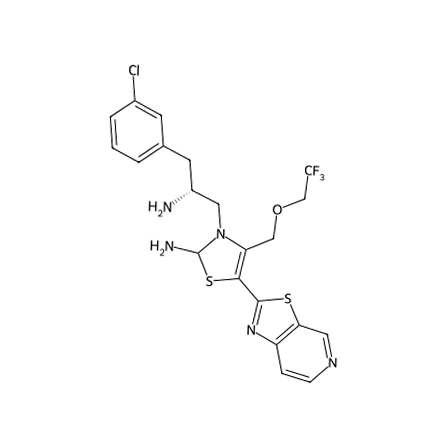 NC1SC(c2nc3ccncc3s2)=C(COCC(F)(F)F)N1C[C@H](N)Cc1cccc(Cl)c1